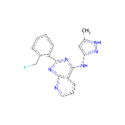 Cc1cc(Nc2nc(-c3ccccc3CF)nc3ncccc23)n[nH]1